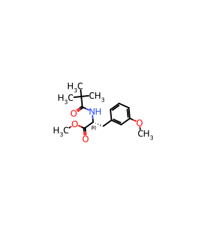 COC(=O)[C@@H](Cc1cccc(OC)c1)NC(=O)C(C)(C)C